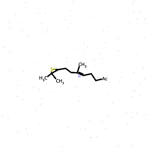 CC(=O)CC/C=C(\C)CCC1SC1(C)C